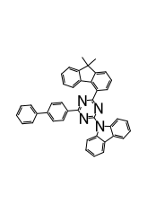 CC1(C)c2ccccc2-c2c(-c3nc(-c4ccc(-c5ccccc5)cc4)nc(-n4c5ccccc5c5ccccc54)n3)cccc21